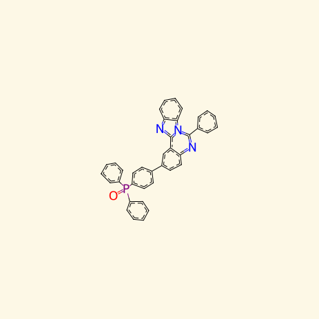 O=P(c1ccccc1)(c1ccccc1)c1ccc(-c2ccc3nc(-c4ccccc4)n4c5ccccc5nc4c3c2)cc1